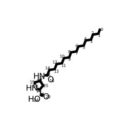 CCCCCCCCCCCCCCCC(=O)N[C@@H]1CN[C@H](C(=O)O)C1